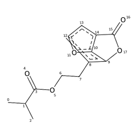 CC(C)C(=O)OCCc1c2c3oc1cc3C(=O)O2